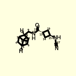 CC1(C)C2C[C@H]1CC[C@H]2CNC(=O)[C@H]1C[C@H](NC#N)C1